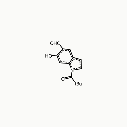 CC(C)(C)C(=O)n1ccc2cc(C=O)c(O)cc21